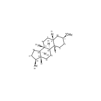 CC(=O)O[C@H]1CC[C@@]2(C)[C@H](CC[C@@H]3[C@@H]2CC[C@]2(C)[C@@H](C(C)=O)CC[C@@H]32)C1